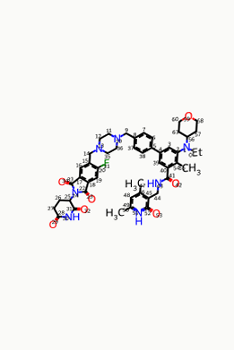 CCN(c1cc(-c2ccc(CN3CCN(Cc4cc5c(cc4F)C(=O)N(C4CCC(=O)NC4=O)C5=O)CC3)cc2)cc(C(=O)NCc2c(C)cc(C)[nH]c2=O)c1C)C1CCOCC1